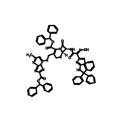 Cc1cc(SCC2=C(C(=O)OC(c3ccccc3)c3ccccc3)N3C(=O)[C@@H](NC(=O)C(=NO)c4csc(NC(c5ccccc5)(c5ccccc5)c5ccccc5)n4)[C@H]3SC2)n2nc(C(=O)OC(c3ccccc3)c3ccccc3)nc2n1